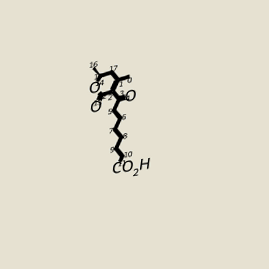 CC1=C(C(=O)CCCCCCC(=O)O)C(=O)O[C@@H](C)C1